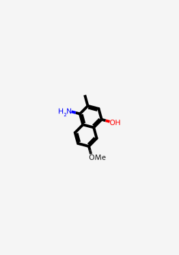 COc1ccc2c(N)c(C)cc(O)c2c1